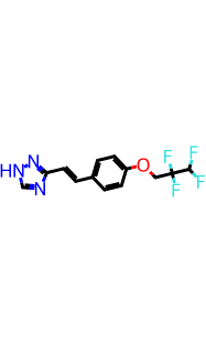 FC(F)C(F)(F)COc1ccc(C=Cc2nc[nH]n2)cc1